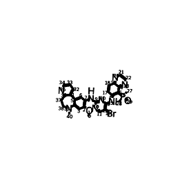 COc1cc2c(cc1Nc1ncc(Br)c(Nc3ccc4nccnc4c3P(C)(C)=O)n1)-c1cccnc1CCN2C